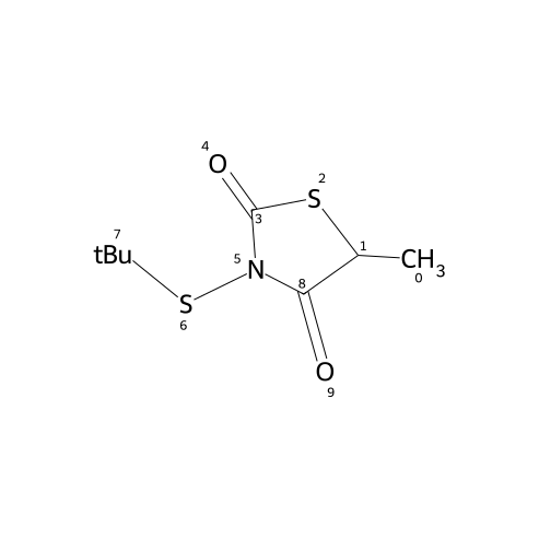 CC1SC(=O)N(SC(C)(C)C)C1=O